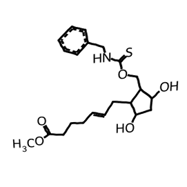 COC(=O)CCCC=CCC1C(O)CC(O)C1COC(=S)NCc1ccccc1